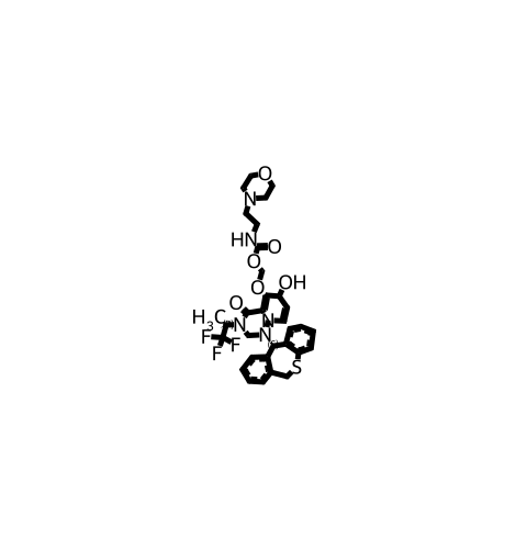 C[C@@H](N1CN([C@H]2c3ccccc3CSc3ccccc32)N2C=CC(O)C(OCOC(=O)NCCN3CCOCC3)=C2C1=O)C(F)(F)F